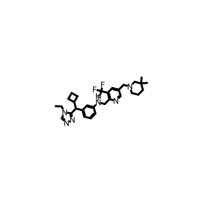 CCn1cnnc1C(c1cccc(NCc2ncc(CN3CCCC(C)(C)C3)cc2C(F)(F)F)c1)C1CCC1